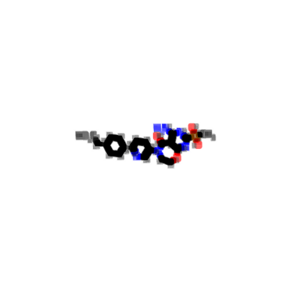 CS(=O)(=O)c1nc(N)c2c(n1)OCCN(c1ccc([C@H]3CC[C@H](CC(=O)O)CC3)nc1)C2=O